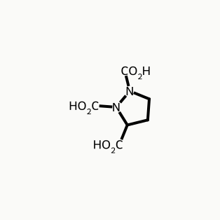 O=C(O)C1CCN(C(=O)O)N1C(=O)O